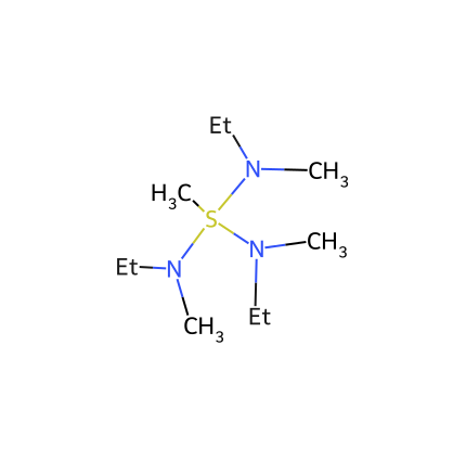 CCN(C)S(C)(N(C)CC)N(C)CC